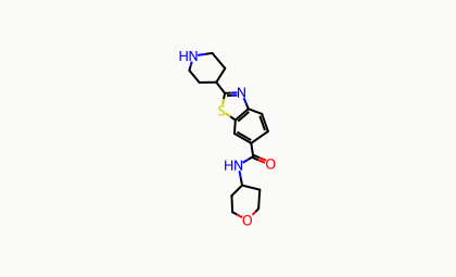 O=C(NC1CCOCC1)c1ccc2nc(C3CCNCC3)sc2c1